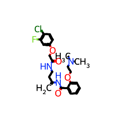 C=C(CCNC(=O)COc1ccc(Cl)c(F)c1)NC(=O)c1ccccc1OCCN(C)C